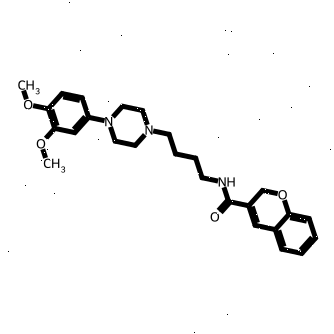 COc1ccc(N2CCN(CCCCNC(=O)C3=Cc4ccccc4OC3)CC2)cc1OC